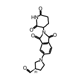 O=C[C@@H]1CCN(c2ccc3c(c2)C(=O)N(C2CCC(=O)NC2=O)C3=O)C1